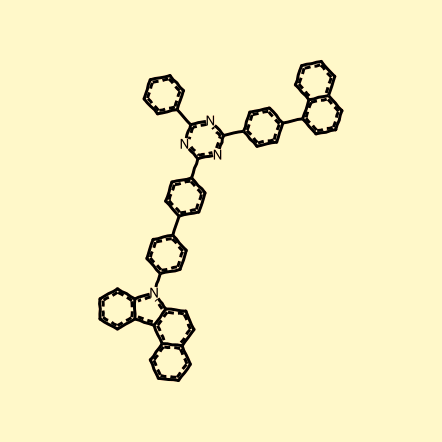 c1ccc(-c2nc(-c3ccc(-c4ccc(-n5c6ccccc6c6c7ccccc7ccc65)cc4)cc3)nc(-c3ccc(-c4cccc5ccccc45)cc3)n2)cc1